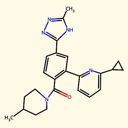 Cc1nnc(-c2ccc(C(=O)N3CCC(C)CC3)c(-c3cccc(C4CC4)n3)c2)[nH]1